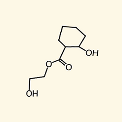 O=C(OCCO)C1CCCCC1O